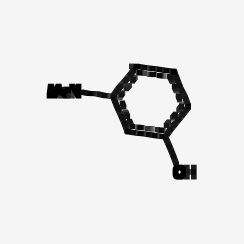 CNc1[c]ccc(O)c1